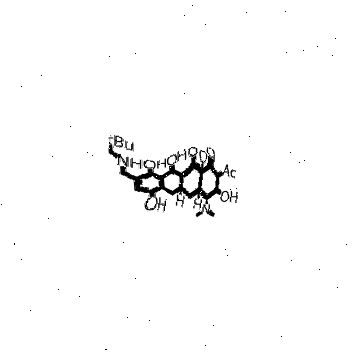 CC(=O)C1C(=O)[C@@]2(O)C(O)=C3C(=O)c4c(O)c(CNCC(C)(C)C)cc(O)c4C[C@H]3C[C@H]2[C@H](N(C)C)C1O